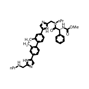 CCCNCc1ncc(-c2ccc(-c3ccc(-c4cnc(CN(CCC)C(=O)[C@H](NC(=O)OC)c5ccccc5)[nH]4)cc3C)c(C)c2)[nH]1